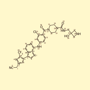 N#CCn1cc(-c2cnc3c(Nc4ccc(C(=O)N5CCN(C(=O)NCC6(O)CNC6)CC5)c(Cl)c4)nccn23)c(C(F)(F)F)n1